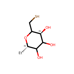 CC[C@@H]1OC(CS)[C@@H](O)C(O)C1O